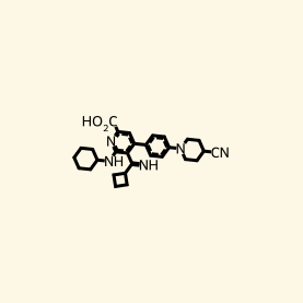 N#CC1CCN(c2ccc(-c3cc(C(=O)O)nc(NC4CCCCC4)c3C(=N)C3CCC3)cc2)CC1